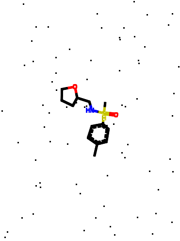 Cc1ccc([SH](C)(=O)NCC2CCCO2)cc1